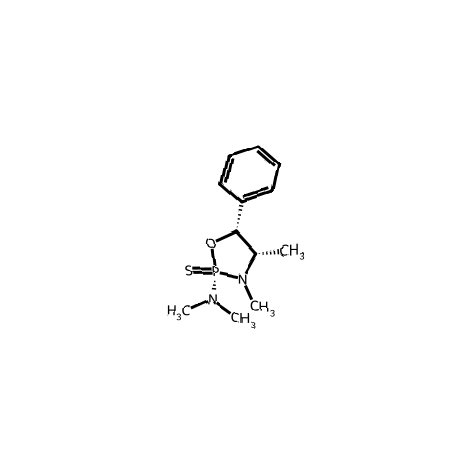 C[C@H]1[C@@H](c2ccccc2)O[P@@](=S)(N(C)C)N1C